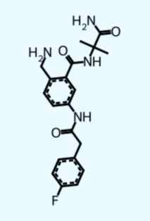 CC(C)(NC(=O)c1cc(NC(=O)Cc2ccc(F)cc2)ccc1CN)C(N)=O